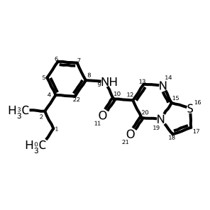 CCC(C)c1cccc(NC(=O)c2cnc3sccn3c2=O)c1